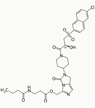 CCCC(=O)NCCC(=O)OCc1ncc2n1C(=O)N(C1CCN(C(=O)[C@H](O)CS(=O)(=O)c3ccc4cc(Cl)ccc4c3)CC1)C2